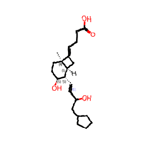 C[C@@]12CC[C@H](O)[C@@H](/C=C/C(O)CC3CCCC3)[C@@H]1CC2=CCCC(=O)O